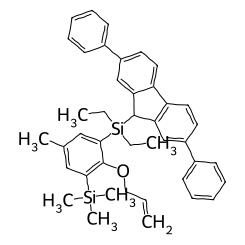 C=CCOc1c([Si](C)(C)C)cc(C)cc1[Si](CC)(CC)C1c2cc(-c3ccccc3)ccc2-c2ccc(-c3ccccc3)cc21